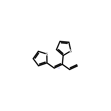 C=C/C(=C/c1cccs1)c1cccs1